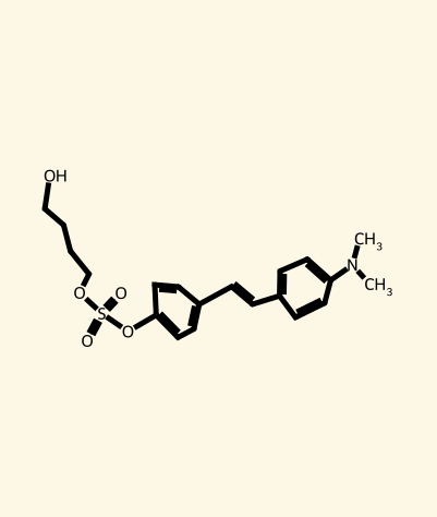 CN(C)c1ccc(C=Cc2ccc(OS(=O)(=O)OCCCCO)cc2)cc1